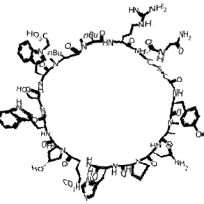 CCCC[C@H]1C(=O)N(C)[C@@H](CCCC)C(=O)N[C@@H](CCCNC(=N)N)C(=O)N[C@H](C(=O)NCC(N)=O)CSCC(=O)N[C@@H](Cc2ccc(O)cc2)C(=O)N(C)[C@@H](C)C(=O)N[C@@H](CC(N)=O)C(=O)N2CCC[C@H]2C(=O)N[C@@H](Cc2cnc[nH]2)C(=O)N[C@@H](CCC(=O)O)C(=O)N2C[C@H](O)C[C@H]2C(=O)N[C@@H](Cc2c[nH]c3ccccc23)C(=O)N[C@@H](CO)C(=O)N[C@@H](Cc2cn(CC(=O)O)c3ccccc23)C(=O)N1C